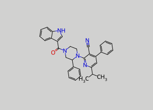 CC(C)c1cc(-c2ccccc2)c(C#N)c(N2CCN(C(=O)c3c[nH]c4ccccc34)CC2c2ccccc2)n1